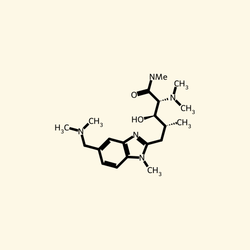 CNC(=O)[C@@H]([C@H](O)[C@H](C)Cc1nc2cc(CN(C)C)ccc2n1C)N(C)C